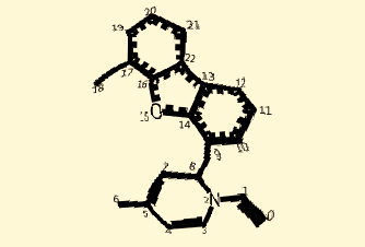 C=CN1C=CC(C)=CC1c1cccc2c1oc1c(C)cccc12